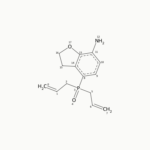 C=CCP(=O)(CC=C)c1ccc(N)c2c1CCO2